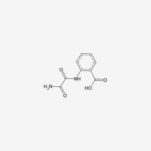 NC(=O)C(=O)Nc1ccccc1C(=O)O